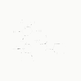 CCCCCCC[C@H](CC(=O)O)OC(=O)C[C@@H](CCCCCCC)O[C@@H]1O[C@@H](C)[C@H](O)[C@@H](O)[C@@H]1O[C@@H]1O[C@@H](C)[C@H](O)[C@@H](O)[C@@H]1O